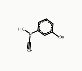 C#CN(C)c1cccc(C(C)(C)C)c1